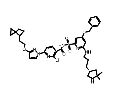 CC1(C)C[C@H](CCCNc2cc(OCc3ccccc3)cc(S(=O)(=O)NC(=O)c3ccc(-n4ccc(OCCC5CCC56CC6)n4)nc3Cl)n2)CN1